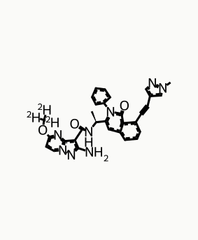 [2H]C([2H])([2H])Oc1ccn2nc(N)c(C(=O)N[C@@H](C)c3cc4cccc(C#Cc5cnn(C)c5)c4c(=O)n3-c3ccccc3)c2n1